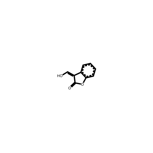 O=C1Oc2ccccc2C1=CO